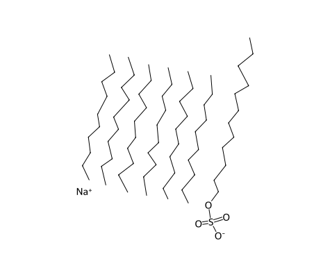 CCCCCCCCCC.CCCCCCCCCC.CCCCCCCCCC.CCCCCCCCCC.CCCCCCCCCC.CCCCCCCCCC.CCCCCCCCCCCCOS(=O)(=O)[O-].[Na+]